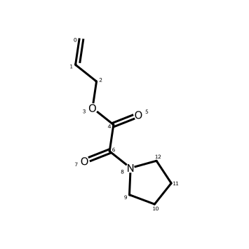 C=CCOC(=O)C(=O)N1CCCC1